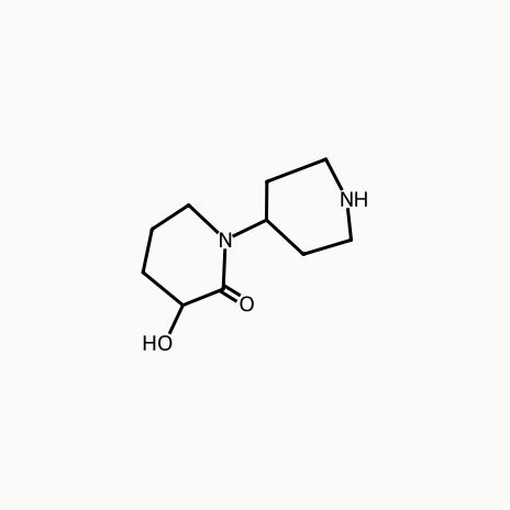 O=C1C(O)CCCN1C1CCNCC1